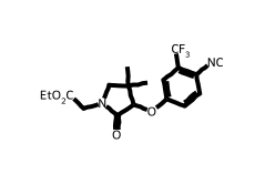 [C-]#[N+]c1ccc(OC2C(=O)N(CC(=O)OCC)CC2(C)C)cc1C(F)(F)F